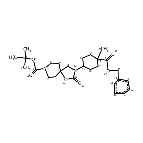 CC(C)(C)OC(=O)N1CCC2(CC1)CN(C1CCC(C)(C(=O)OCc3ccccc3)CC1)C(=O)O2